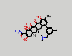 Cc1cc(CN(C)C)cc(-c2cc(C(C)(C)C)c(O)c3c2C[C@H]2C[C@H]4CC(O)=C(C(N)=O)C(=O)[C@@]4(O)C(O)=C2C3=O)c1